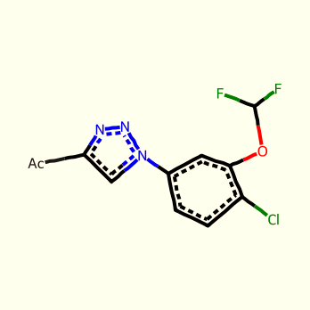 CC(=O)c1cn(-c2ccc(Cl)c(OC(F)F)c2)nn1